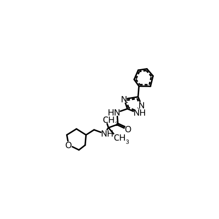 CC(C)(NCC1CCOCC1)C(=O)Nc1nc(-c2ccccc2)n[nH]1